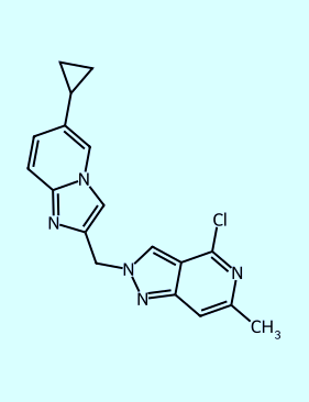 Cc1cc2nn(Cc3cn4cc(C5CC5)ccc4n3)cc2c(Cl)n1